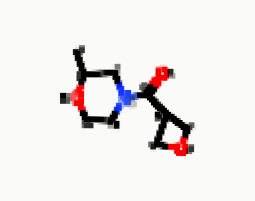 CC1CN(C(=O)C2COC2)CCO1